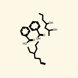 C=CCCC(CC)CCC.CCCC(O)CC(C)O.O=C(O)c1ccccc1.O=C(O)c1ccccc1